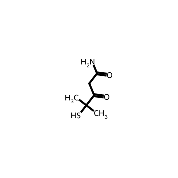 CC(C)(S)C(=O)CC(N)=O